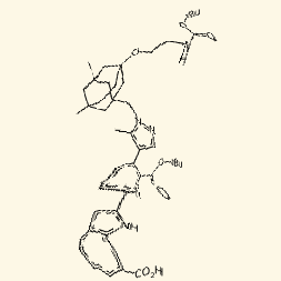 Cc1c(-c2ccc(-c3cc4cccc(C(=O)O)c4[nH]3)nc2C(=O)OC(C)(C)C)cnn1CC12CC3(C)CC(C)(C1)CC(OCCNC(=O)OC(C)(C)C)(C3)C2